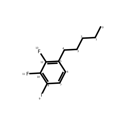 CCCCCc1ccc(I)c(F)c1F